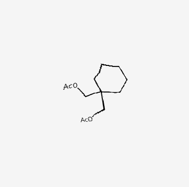 CC(=O)OCC1(COC(C)=O)CCCCC1